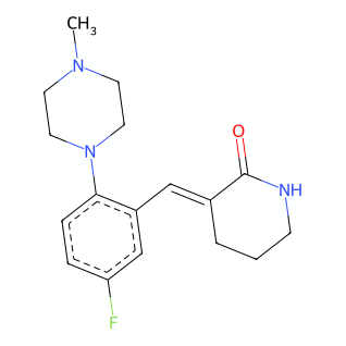 CN1CCN(c2ccc(F)cc2C=C2CCCNC2=O)CC1